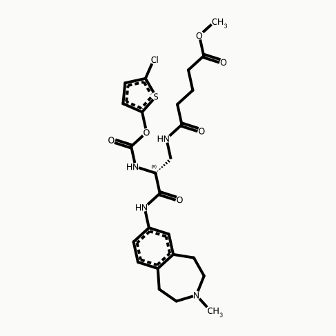 COC(=O)CCCC(=O)NC[C@@H](NC(=O)Oc1ccc(Cl)s1)C(=O)Nc1ccc2c(c1)CCN(C)CC2